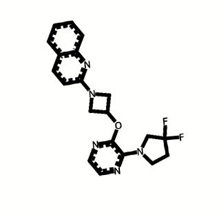 FC1(F)CCN(c2nccnc2OC2CN(c3ccc4ccccc4n3)C2)C1